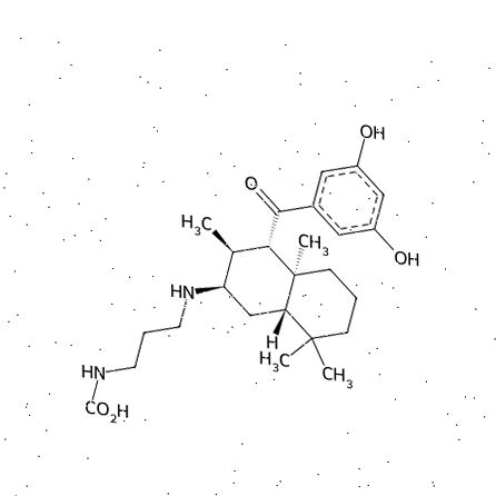 C[C@@H]1[C@H](NCCCNC(=O)O)C[C@H]2C(C)(C)CCC[C@]2(C)[C@H]1C(=O)c1cc(O)cc(O)c1